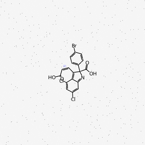 O=C(O)/C=C\C1=c2c(Cl)cc(Cl)cc2=NC1(C(=O)O)c1ccc(Br)cc1